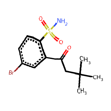 CC(C)(C)CC(=O)c1cc(Br)ccc1S(N)(=O)=O